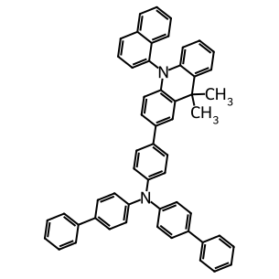 CC1(C)c2ccccc2N(c2cccc3ccccc23)c2ccc(-c3ccc(N(c4ccc(-c5ccccc5)cc4)c4ccc(-c5ccccc5)cc4)cc3)cc21